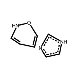 C1=CNOC=C1.c1c[nH]cn1